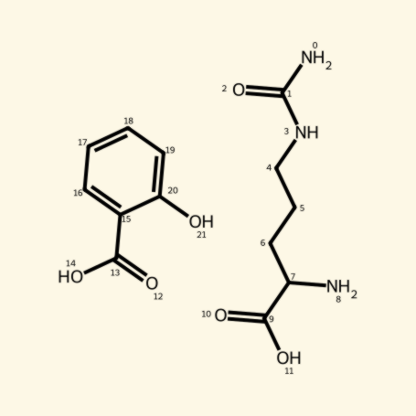 NC(=O)NCCCC(N)C(=O)O.O=C(O)c1ccccc1O